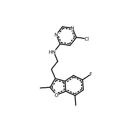 Cc1oc2c(C)cc(F)cc2c1CCNc1cc(Cl)ncn1